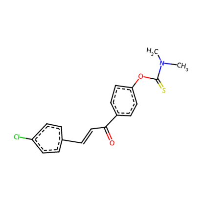 CN(C)C(=S)Oc1ccc(C(=O)C=Cc2ccc(Cl)cc2)cc1